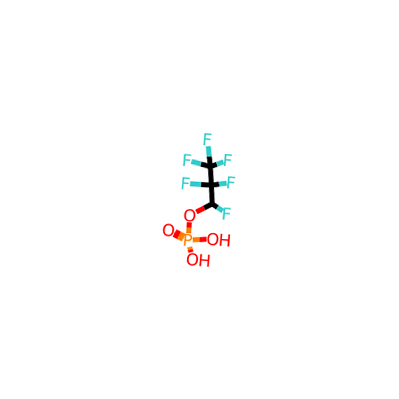 O=P(O)(O)OC(F)C(F)(F)C(F)(F)F